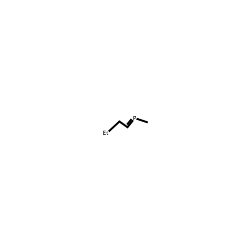 CCCC=PC